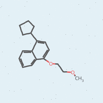 COCCOc1ccc(C2CCCC2)c2ccccc12